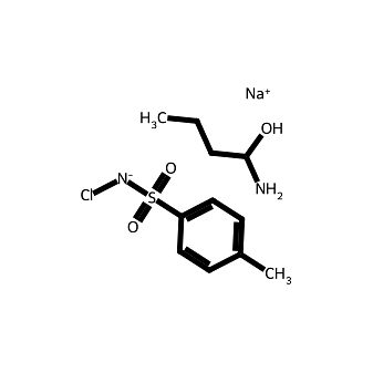 CCCC(N)O.Cc1ccc(S(=O)(=O)[N-]Cl)cc1.[Na+]